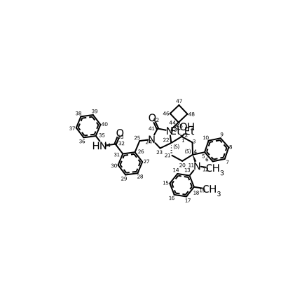 CCC1(CC)C[C@@](c2ccccc2)(N(C)c2ccccc2C)CC[C@@]12CN(Cc1ccccc1C(=O)Nc1ccccc1)C(=O)N2C1(O)CCC1